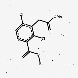 C=C(OCC)c1ncc(Cl)c(CC(=O)OC)c1Cl